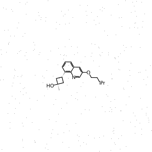 CC(C)CCOc1cnc2c(cccc2[C@H]2C[C@](C)(O)C2)c1